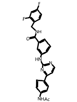 CC(=O)Nc1ccc(-c2ccnc(Nc3cccc(C(=O)NCc4ccc(F)cc4F)c3)n2)cc1